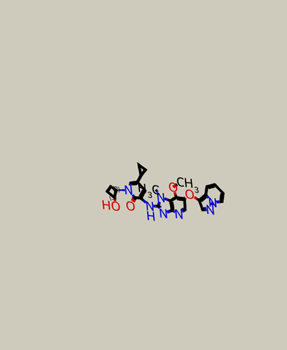 COc1c(Oc2cnn3ccccc23)cnc2nc(Nc3cc(C4CC4)cn([C@@H]4CC[C@@H]4O)c3=O)n(C)c12